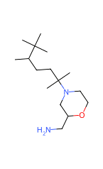 CC(CCC(C)(C)N1CCOC(CN)C1)C(C)(C)C